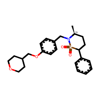 C[C@H]1CCC(c2ccccc2)S(=O)(=O)N1Cc1ccc(OCC2CCOCC2)cc1